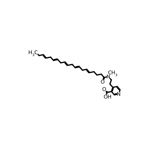 CCC=CCC=CCC=CCC=CCC=CCCCC(=O)N(C)CCc1ccncc1C(=O)O